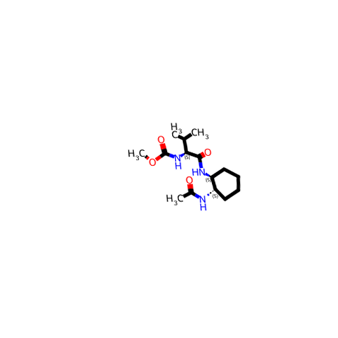 COC(=O)N[C@H](C(=O)N[C@H]1CCCC[C@@H]1NC(C)=O)C(C)C